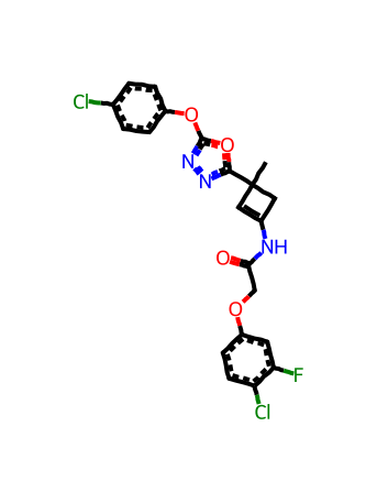 CC1(c2nnc(Oc3ccc(Cl)cc3)o2)C=C(NC(=O)COc2ccc(Cl)c(F)c2)C1